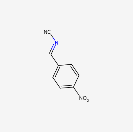 N#CN=Cc1ccc([N+](=O)[O-])cc1